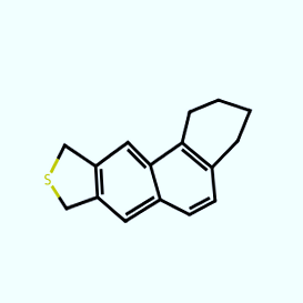 c1cc2cc3c(cc2c2c1CCCC2)CSC3